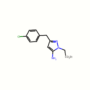 CCOC(=O)Cn1nc(Cc2ccc(Cl)cc2)cc1N